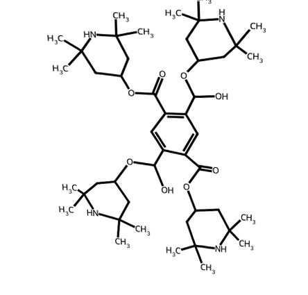 CC1(C)CC(OC(=O)c2cc(C(O)OC3CC(C)(C)NC(C)(C)C3)c(C(=O)OC3CC(C)(C)NC(C)(C)C3)cc2C(O)OC2CC(C)(C)NC(C)(C)C2)CC(C)(C)N1